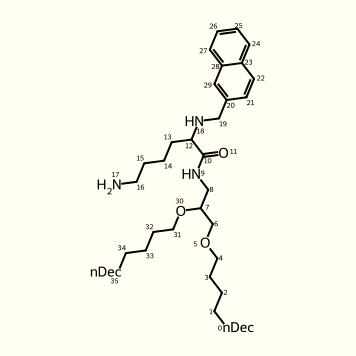 CCCCCCCCCCCCCCOCC(CNC(=O)C(CCCCN)NCc1ccc2ccccc2c1)OCCCCCCCCCCCCCC